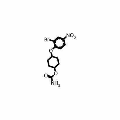 NC(=O)OC1CCC(Oc2ccc([N+](=O)[O-])cc2Br)CC1